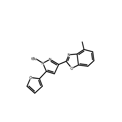 Cc1cccc2oc(-c3cc(-c4ccco4)n(C(C)(C)C)n3)nc12